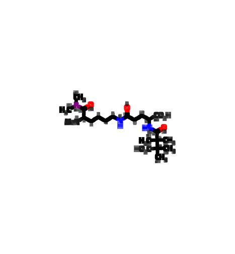 CN[C@H](CCCCNC(=O)CC[C@H](NC(=O)C(C)(C)C(C)(C)C(=O)O)C(=O)O)C(=O)P(C)C